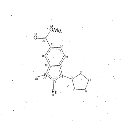 CCc1c(C2CCCC2)c2ccc(C(=O)OC)cc2n1C